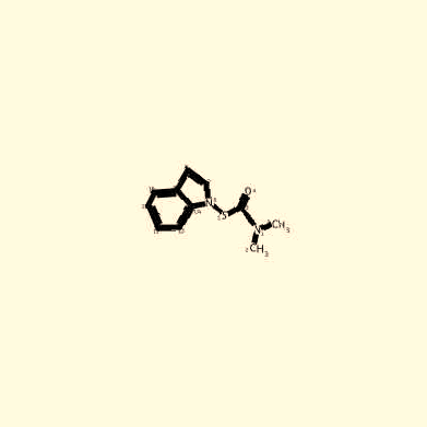 CN(C)C(=O)Sn1ccc2ccccc21